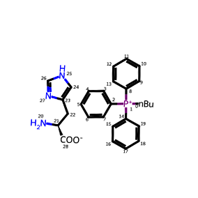 CCCC[P+](c1ccccc1)(c1ccccc1)c1ccccc1.N[C@@H](Cc1c[nH]cn1)C(=O)[O-]